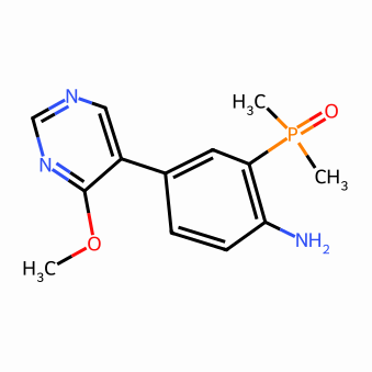 COc1ncncc1-c1ccc(N)c(P(C)(C)=O)c1